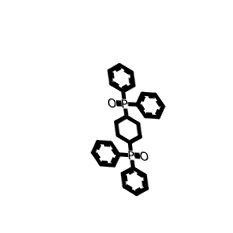 O=P(c1ccccc1)(c1ccccc1)C1CCC(P(=O)(c2ccccc2)c2ccccc2)CC1